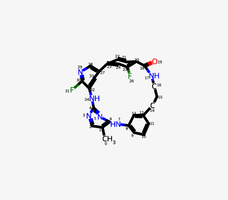 Cc1cnc2nc1Nc1cccc(c1)CCCNC(=O)c1ccc(cc1F)-c1cnc(F)c(c1)N2